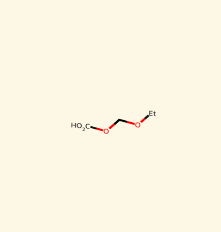 CCOCOC(=O)O